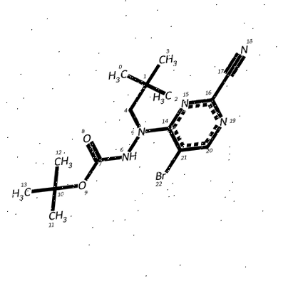 CC(C)(C)CN(NC(=O)OC(C)(C)C)c1nc(C#N)ncc1Br